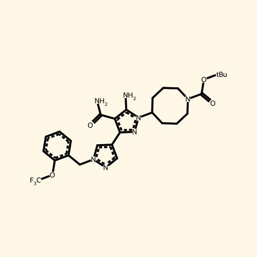 CC(C)(C)OC(=O)N1CCCC(n2nc(-c3cnn(Cc4ccccc4OC(F)(F)F)c3)c(C(N)=O)c2N)CCC1